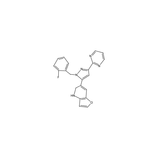 Fc1ccccc1Cn1nc(-c2ncccn2)cc1C1=Cc2occc2NC1